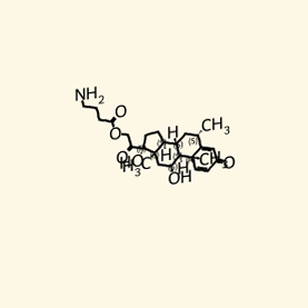 C[C@H]1C[C@@H]2[C@H]([C@@H](O)C[C@@]3(C)[C@H]2CC[C@]3(O)C(=O)COC(=O)CCCN)[C@@]2(C)C=CC(=O)C=C12